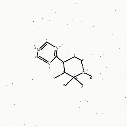 CC1C(c2ncncn2)CCN(C)C1(C)C